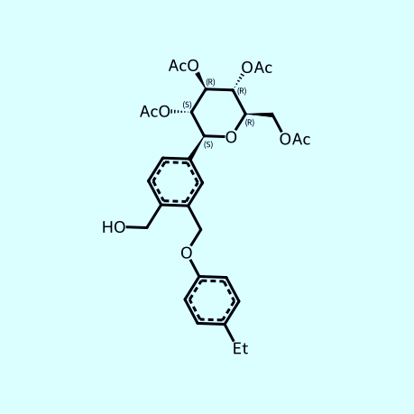 CCc1ccc(OCc2cc([C@@H]3O[C@H](COC(C)=O)[C@@H](OC(C)=O)[C@H](OC(C)=O)[C@H]3OC(C)=O)ccc2CO)cc1